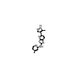 Cc1ccnc(Nc2nc3ccc(-c4cn[nH]c4C)nc3s2)c1